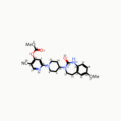 COC(=O)Oc1cc(N2CCC(N3CCc4cc(OC)ccc4NC3=O)CC2)ncc1C#N